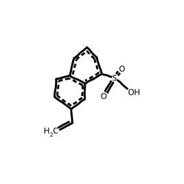 C=Cc1ccc2cccc(S(=O)(=O)O)c2c1